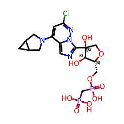 O=P(O)(O)CP(=O)(O)OC[C@H]1OC[C@@](O)(c2ncc3c(N4CC5CC5C4)cc(Cl)nn23)[C@@H]1O